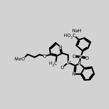 COCCCOc1ccnc(C[S+]([O-])c2nc3ccccc3n2S(=O)(=O)c2cccc(C(=O)O)c2)c1C.[NaH]